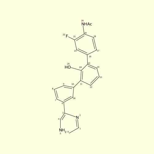 C/C=N\C(=C/N)c1cccc(-c2cccc(-c3ccc(NC(C)=O)c(F)c3)c2O)c1